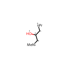 CCCCC(O)CNC